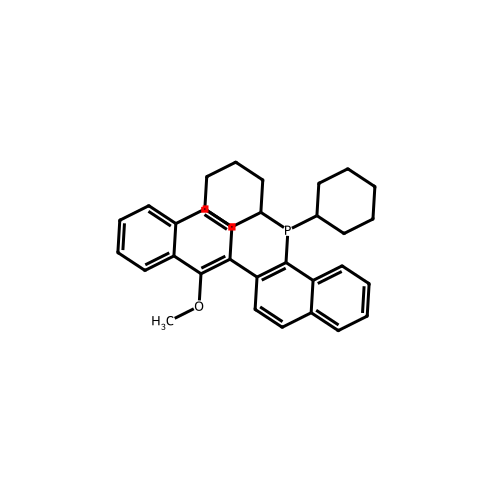 COc1c(-c2ccc3ccccc3c2P(C2CCCCC2)C2CCCCC2)ccc2ccccc12